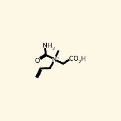 C=CC[N+](C)(CC(=O)O)C(N)=O